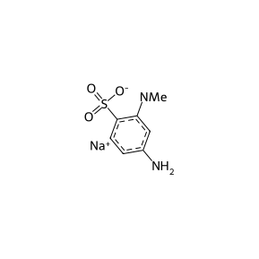 CNc1cc(N)ccc1S(=O)(=O)[O-].[Na+]